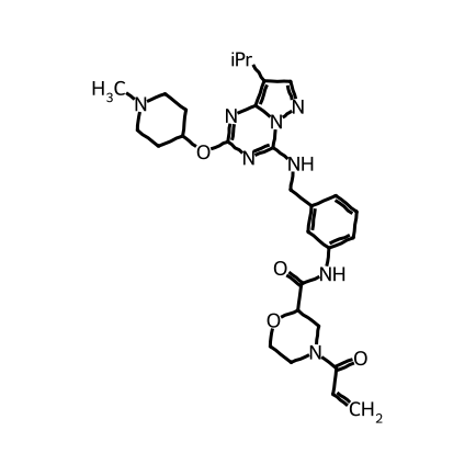 C=CC(=O)N1CCOC(C(=O)Nc2cccc(CNc3nc(OC4CCN(C)CC4)nc4c(C(C)C)cnn34)c2)C1